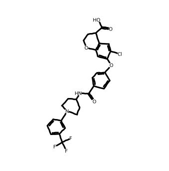 O=C(NC1CCN(c2cccc(C(F)(F)F)c2)CC1)c1ccc(Oc2cc3c(cc2Cl)C(C(=O)O)CCO3)cc1